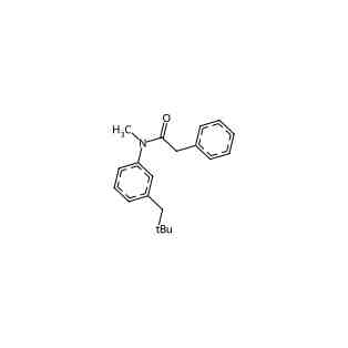 CN(C(=O)Cc1ccccc1)c1cccc(CC(C)(C)C)c1